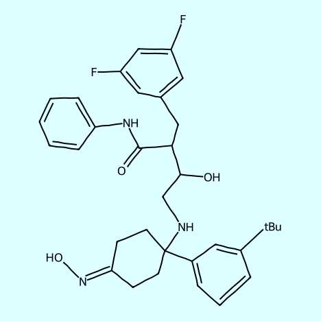 CC(C)(C)c1cccc(C2(NCC(O)C(Cc3cc(F)cc(F)c3)C(=O)Nc3ccccc3)CCC(=NO)CC2)c1